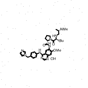 CN[C@@H](C)CN[C@H](C(=O)N1CCC[C@H]1C(=O)Nc1cc2c(Nc3ccc(Cn4ccnc4)cc3)ncnc2cc1OC)C(C)(C)C.Cl